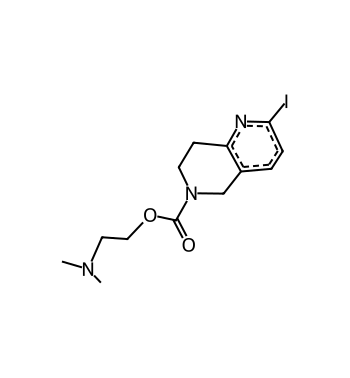 CN(C)CCOC(=O)N1CCc2nc(I)ccc2C1